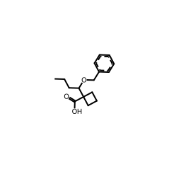 CCCC(OCc1ccccc1)C1(C(=O)O)CCC1